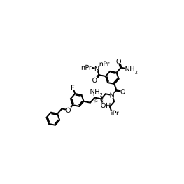 CCCN(CCC)C(=O)c1cc(C(N)=O)cc(C(=O)N(CCC(C)C)C[C@@H](O)[C@@H](N)Cc2cc(F)cc(OCc3ccccc3)c2)c1